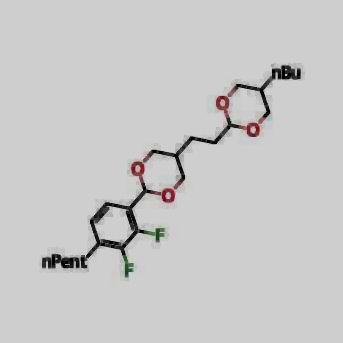 CCCCCc1ccc(C2OCC(CCC3OCC(CCCC)CO3)CO2)c(F)c1F